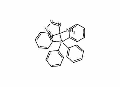 NC1(P(c2ccccc2)(c2ccccc2)(c2ccccc2)c2ccccc2)N=NN=N1